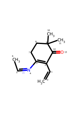 C=CC1=C(/N=C\C)CCC(C)(C)C1=O